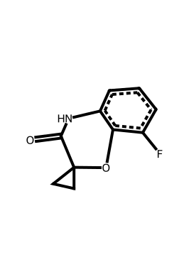 O=C1Nc2cccc(F)c2OC12CC2